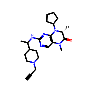 C#CCN1CCC(C(C)Nc2ncc3c(n2)N(C2CCCC2)[C@H](CC)C(=O)N3C)CC1